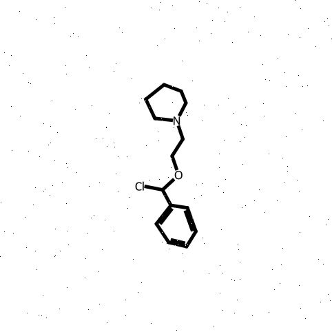 ClC(OCCN1CCCCC1)c1ccccc1